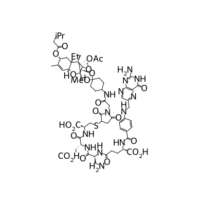 CC[C@]12C[C@H](OC(=O)CC(C)C)C(C)=C[C@H]1O[C@@H]1[C@H](OC3(OC)CCC(NC(=O)CN4C(=O)CC(SC[C@@H](NC(=O)[C@@H](CC(=O)O)NC(=O)[C@H](CN)NC(=O)CC[C@@H](NC(=O)c5ccc(NCc6cnc7nc(N)[nH]c(=O)c7n6)cc5)C(=O)O)C(=O)O)C4=O)CC3)[C@@H](OC(C)=O)[C@@]2(C)[C@]12CO2